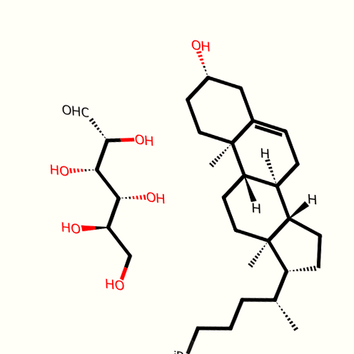 CC(C)CCC[C@@H](C)[C@H]1CC[C@H]2[C@@H]3CC=C4C[C@@H](O)CC[C@]4(C)[C@H]3CC[C@]12C.O=C[C@H](O)[C@@H](O)[C@H](O)[C@H](O)CO